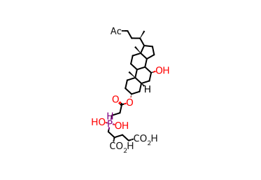 CC(=O)CC[C@@H](C)C1CCC2C3C(CC[C@@]21C)[C@@]1(C)CC[C@@H](OC(=O)CC[PH](O)(O)CC(CCC(=O)O)C(=O)O)C[C@H]1C[C@@H]3O